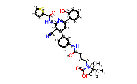 CC(C)(C)N(CCCC(=O)Nc1cccc(-c2cc(-c3ccccc3O)nc(NC(=O)c3cccs3)c2C#N)c1)C(=O)O